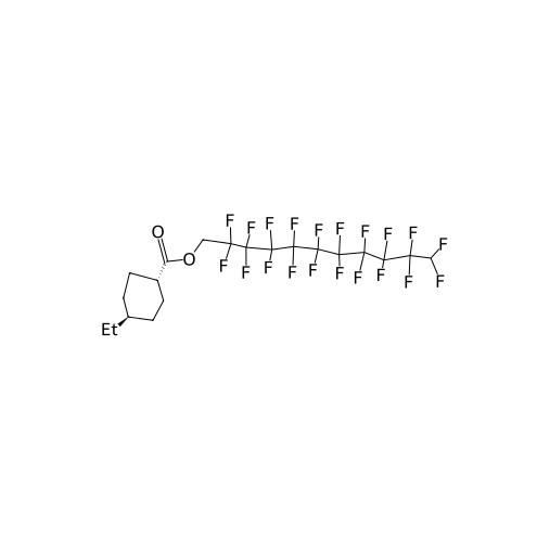 CC[C@H]1CC[C@H](C(=O)OCC(F)(F)C(F)(F)C(F)(F)C(F)(F)C(F)(F)C(F)(F)C(F)(F)C(F)(F)C(F)(F)C(F)F)CC1